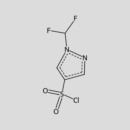 O=S(=O)(Cl)c1cnn(C(F)F)c1